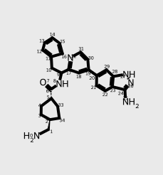 NC[C@H]1CC[C@H](C(=O)NC(Cc2ccccc2)c2cc(-c3ccc4c(N)n[nH]c4c3)ccn2)CC1